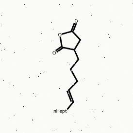 CCCCCCCC=CCCCC1CC(=O)OC1=O